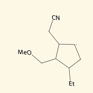 [CH2]CC1C[CH]C(CC#N)C1COC